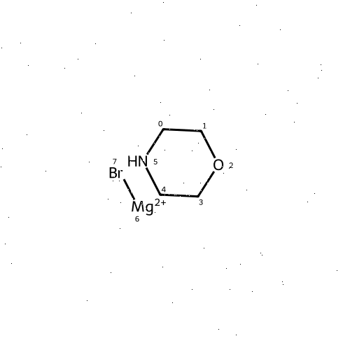 C1COCCN1.[Mg+2][Br]